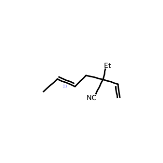 C=CC(C#N)(CC)C/C=C/C